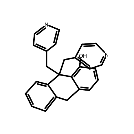 Oc1cccc2c1C(Cc1ccncc1)(Cc1ccncc1)c1ccccc1C2